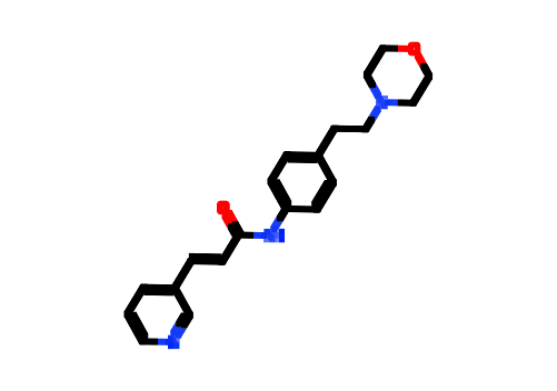 O=C(/C=C/c1cccnc1)Nc1ccc(CCN2CCOCC2)cc1